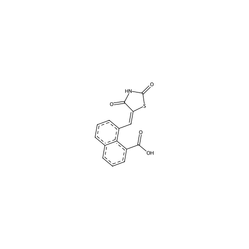 O=C1NC(=O)C(=Cc2cccc3cccc(C(=O)O)c23)S1